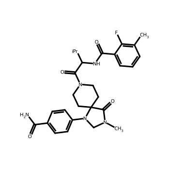 Cc1cccc(C(=O)NC(C(=O)N2CCC3(CC2)C(=O)N(C)CN3c2ccc(C(N)=O)cc2)C(C)C)c1F